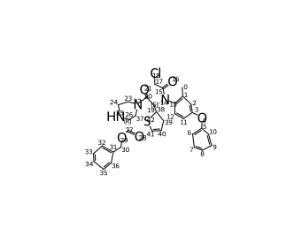 Cc1cc(Oc2ccccc2)ccc1N(C(=O)CCl)[C@@H](C(=O)N1CCN[C@@H](C(=O)OCc2ccccc2)C1)C1CC=CS1